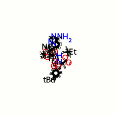 CCC(C)(C)COC(=O)[C@H](C)NP(=O)(OC[C@H]1O[C@@](C#N)(c2ccc3c(N)ncnn23)[C@@H]2OC(C)(C)O[C@@H]21)Oc1ccc(C(C)(C)C)cc1